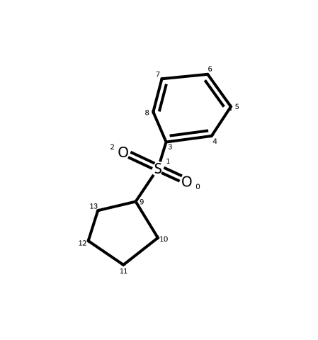 O=S(=O)(c1c[c]ccc1)C1CCCC1